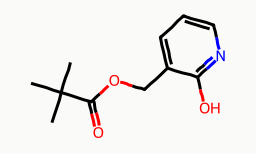 CC(C)(C)C(=O)OCc1cccnc1O